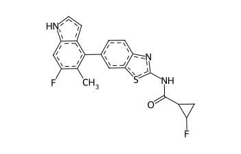 Cc1c(F)cc2[nH]ccc2c1-c1ccc2nc(NC(=O)C3CC3F)sc2c1